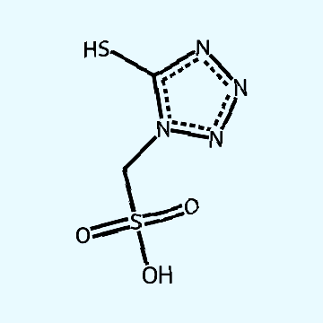 O=S(=O)(O)Cn1nnnc1S